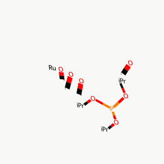 CC(C)OP(OC(C)C)OC(C)C.[C]=O.[C]=O.[C]=O.[C]=O.[Ru]